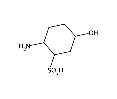 NC1CCC(O)CC1S(=O)(=O)O